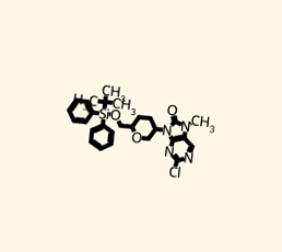 Cn1c(=O)n(C2CCC(CO[Si](c3ccccc3)(c3ccccc3)C(C)(C)C)OC2)c2nc(Cl)ncc21